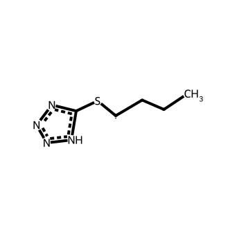 CCC[CH]Sc1nnn[nH]1